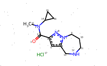 CN(C(=O)c1cc2n(n1)CCCNC2)C1CC1.Cl